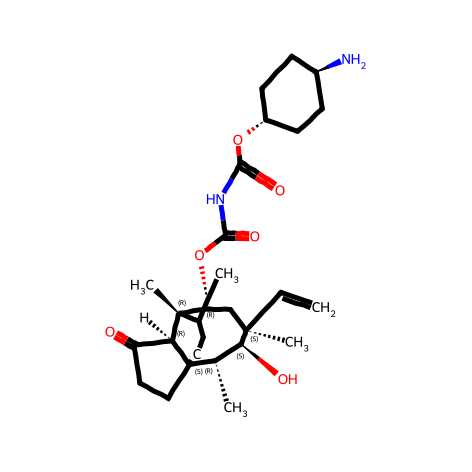 C=C[C@]1(C)C[C@@H](OC(=O)NC(=O)O[C@H]2CC[C@H](N)CC2)[C@]2(C)C(C)CC[C@]3(CCC(=O)[C@H]32)[C@@H](C)[C@@H]1O